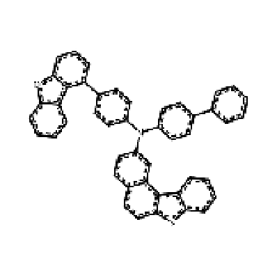 c1ccc(-c2ccc(N(c3ccc(-c4cccc5oc6ccccc6c45)cc3)c3ccc4ccc5sc6ccccc6c5c4c3)cc2)cc1